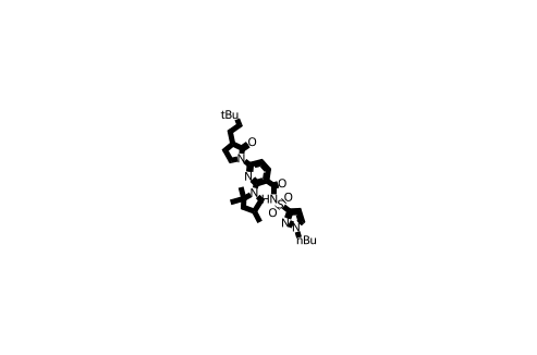 CCCCn1ccc(S(=O)(=O)NC(=O)c2ccc(N3CCC(CCC(C)(C)C)C3=O)nc2N2CC(C)CC2(C)C)n1